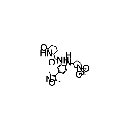 Cc1noc(C)c1-c1ccc(NC2CCN(S(C)(=O)=O)C2)c(NC(=O)C2CCCC(=O)N2)c1